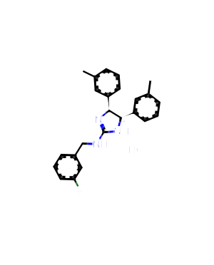 Cc1cccc([C@H]2NC(NCc3cccc(F)c3)=N[C@H]2c2cccc(C)c2)c1.Cl